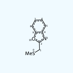 CSCc1nc2ccccc2o1